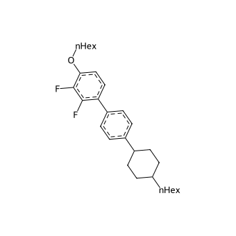 CCCCCCOc1ccc(-c2ccc(C3CCC(CCCCCC)CC3)cc2)c(F)c1F